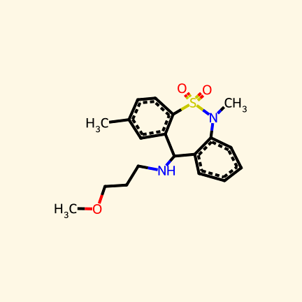 COCCCNC1c2ccccc2N(C)S(=O)(=O)c2ccc(C)cc21